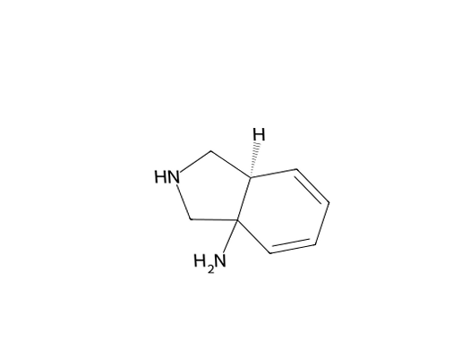 NC12C=CC=C[C@@H]1CNC2